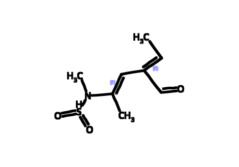 C/C=C(C=O)\C=C(/C)N(C)[SH](=O)=O